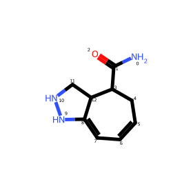 NC(=O)C1CC=CC=C2NNCC21